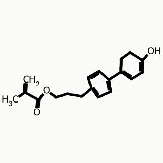 C=C(C)C(=O)OCCCc1ccc(C2=CC=C(O)CC2)cc1